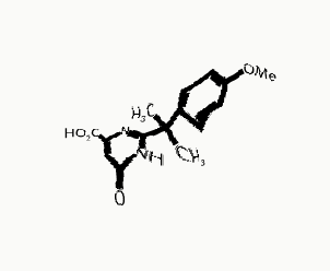 COc1ccc(C(C)(C)c2nc(C(=O)O)cc(=O)[nH]2)cc1